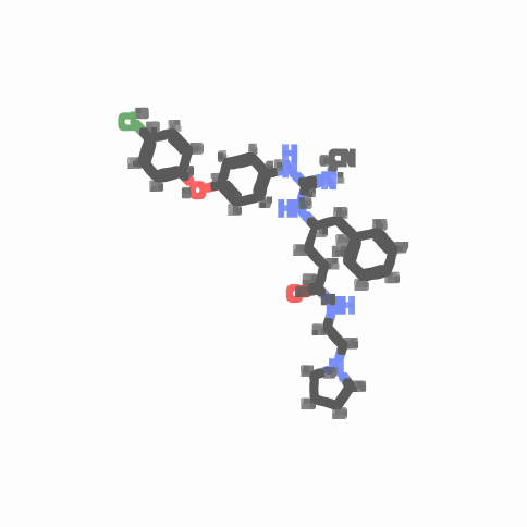 N#C/N=C(\Nc1ccc(Oc2ccc(Cl)cc2)cc1)N[C@H](CCC(=O)NCCN1CCCC1)Cc1ccccc1